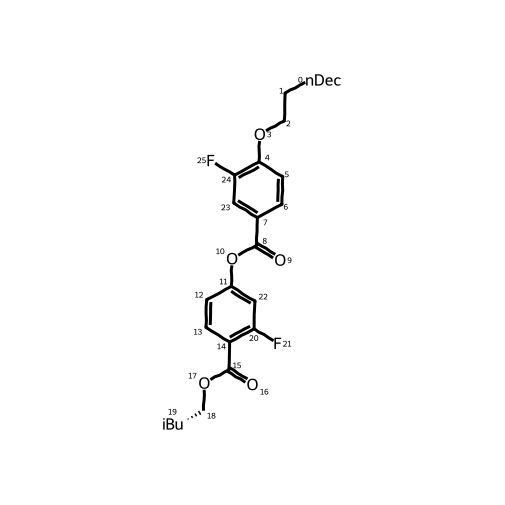 CCCCCCCCCCCCOc1ccc(C(=O)Oc2ccc(C(=O)OC[C@@H](C)CC)c(F)c2)cc1F